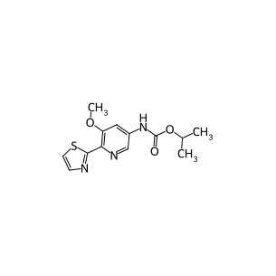 COc1cc(NC(=O)OC(C)C)cnc1-c1nccs1